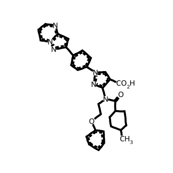 CC1CCC(C(=O)N(CCOc2ccccc2)c2nn(-c3ccc(-c4cc5ncccn5n4)cc3)cc2C(=O)O)CC1